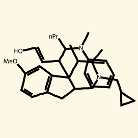 CCCC(C(C=CO)C12c3cc(OC)ccc3CC1CN(CC1CC1)C(C)C2C)N(C)c1ccccc1